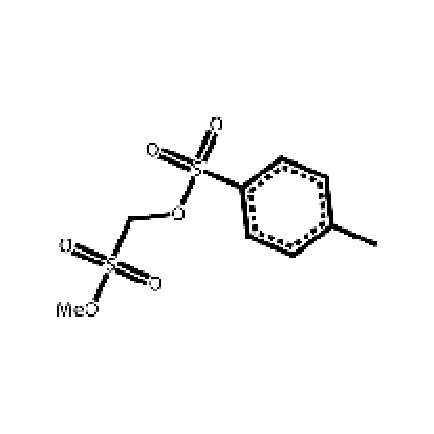 COS(=O)(=O)COS(=O)(=O)c1ccc(C)cc1